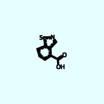 O=C(O)c1cccc2[se]ncc12